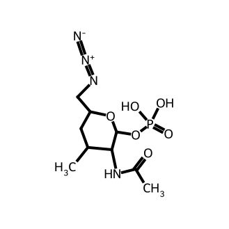 CC(=O)NC1C(C)CC(CN=[N+]=[N-])OC1OP(=O)(O)O